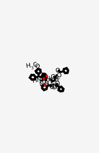 C#C[C@]1(OC(=O)c2ccccc2)[C@H](n2cc(F)c3c(NC(c4ccccc4)(c4ccccc4)c4ccc(OC)cc4)ncnc32)O[C@](F)(COC(=O)c2ccccc2)[C@H]1OC(=O)c1ccccc1